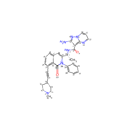 C[C@@H](NC(=O)c1c(N)nn2cccnc12)c1cc2cccc(C#CC3CCN(C)CC3)c2c(=O)n1-c1ccccc1